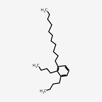 CCCCCCCCCCCc1[c]ccc(CCCC)c1CCCC